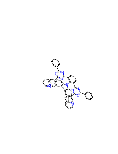 c1ccc(-c2nc(-c3ccccc3)nc(-c3cccc(-c4nc(-c5ccccc5)nc(-c5ccccc5)n4)c3-n3c4ccc(-c5ccccn5)cc4c4cc(-c5ccccn5)ccc43)n2)cc1